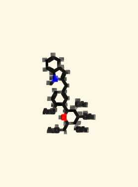 CC(=O)OCC1OC(c2cc(Cc3cc4ccccc4n3C)ccc2OC(C)=O)[C@H](OC(C)=O)C(OC(C)=O)[C@@H]1OC(C)=O